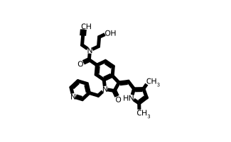 C#CCN(CCO)C(=O)c1ccc2c(c1)N(Cc1cccnc1)C(=O)/C2=C\c1[nH]c(C)cc1C